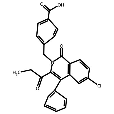 CCC(=O)c1c(-c2ccccc2)c2cc(Cl)ccc2c(=O)n1Cc1ccc(C(=O)O)cc1